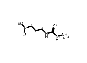 CCN(CC)CCCNC(=S)NN